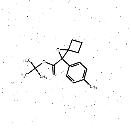 Cc1ccc(C2(C(=O)OC(C)(C)C)OC23CCC3)cc1